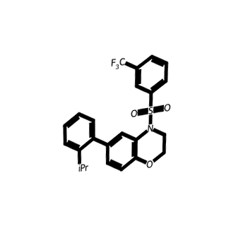 CC(C)c1ccccc1-c1ccc2c(c1)N(S(=O)(=O)c1cccc(C(F)(F)F)c1)CCO2